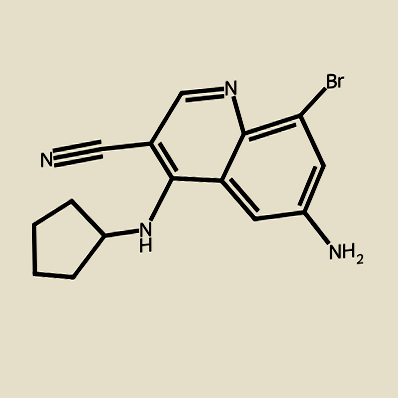 N#Cc1cnc2c(Br)cc(N)cc2c1NC1CCCC1